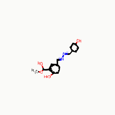 COC(O)c1cc(/C=N/N=C/c2ccc(O)cc2)ccc1O